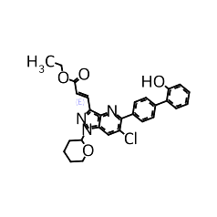 CCOC(=O)/C=C/c1nn(C2CCCCO2)c2cc(Cl)c(-c3ccc(-c4ccccc4O)cc3)nc12